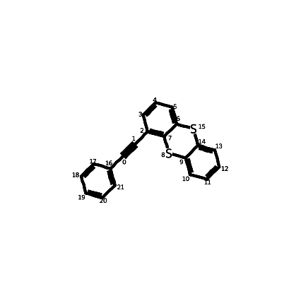 C(#Cc1cccc2c1Sc1ccccc1S2)c1[c]cccc1